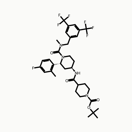 Cc1cc(F)ccc1[C@H]1C[C@H](NC(=O)C2CCN(C(=O)OC(C)(C)C)CC2)CCN1C(=O)N(C)Cc1cc(C(F)(F)F)cc(C(F)(F)F)c1